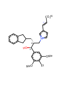 CCc1c(OC)cc([C@@H](O)[C@H](CC2Cc3ccccc3C2)Cn2ccc(/C=C/C(=O)O)c2)cc1OC